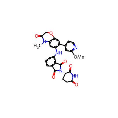 COc1cc(-c2cc3c(cc2Nc2cccc4c2C(=O)N([C@H]2CCC(=O)NC2=O)C4=O)N(C)C(=O)CO3)ccn1